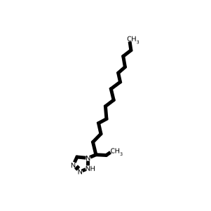 CCCCCCCCCCCCCC(CC)N1CN=NN1